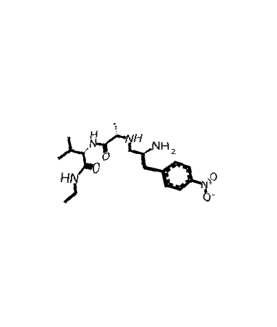 CCNC(=O)[C@@H](NC(=O)[C@H](C)NC[C@@H](N)Cc1ccc([N+](=O)[O-])cc1)C(C)C